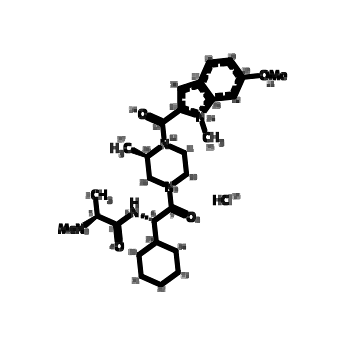 CN[C@@H](C)C(=O)N[C@H](C(=O)N1CCN(C(=O)c2cc3ccc(OC)cc3n2C)[C@H](C)C1)C1CCCCC1.Cl